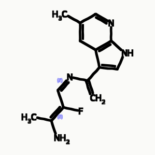 C=C(/N=C\C(F)=C(/C)N)c1c[nH]c2ncc(C)cc12